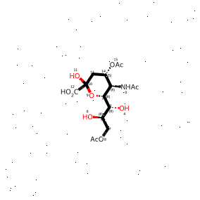 CC(=O)N[C@H]1[C@H]([C@H](O)[C@H](O)COC(C)=O)OC(O)(C(=O)O)C[C@@H]1OC(C)=O